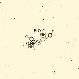 CCOC(=O)CNCC1(Cc2ccc(F)cc2)CCN(C(=O)COc2ccc(Cl)cc2NC(N)=O)CC1